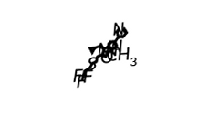 Cn1nc(-c2cccnc2)cc1N(CC1CC1)C(=O)CCSCCC(F)(F)F